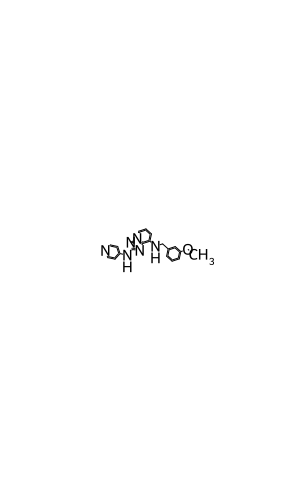 COc1cccc(CNc2cccn3nc(Nc4ccncc4)nc23)c1